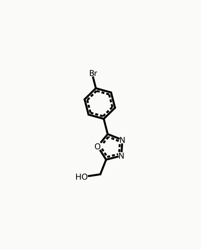 OCc1nnc(-c2ccc(Br)cc2)o1